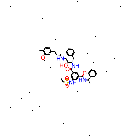 CCS(=O)(=O)Nc1cc(C(=O)N[C@@H](Cc2ccccc2)[C@H](O)CNCCCc2ccc(C)c(OC)c2)cc(C(=O)N[C@H](C)c2ccccc2)c1